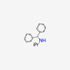 CC(C)NC(c1ccccc1)c1ccccc1